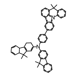 CC1(C)c2ccccc2-c2ccc(N(C3=CC4=C(CC3)C3C=CC=CC3C4(C)C)c3ccc(-c4ccc5c(c4)c4cccc6c4n5-c4ccccc4C6(C)C)cc3)cc21